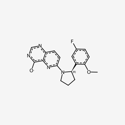 COc1ccc(F)cc1[C@H]1CCCN1c1ccc2ncnc([O])c2n1